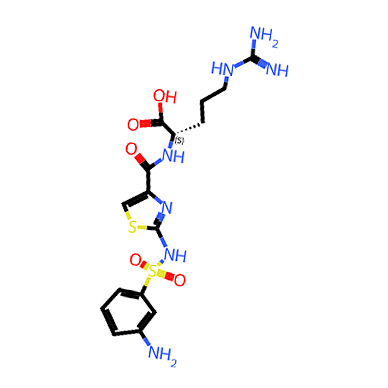 N=C(N)NCCC[C@H](NC(=O)c1csc(NS(=O)(=O)c2cccc(N)c2)n1)C(=O)O